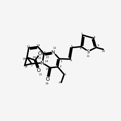 CCc1c(/C=C/c2ccc(C)s2)nc2n(c1=O)C1CC1(C(=O)O)C=C2